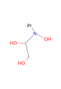 CC(C)N(O)C(O)CO